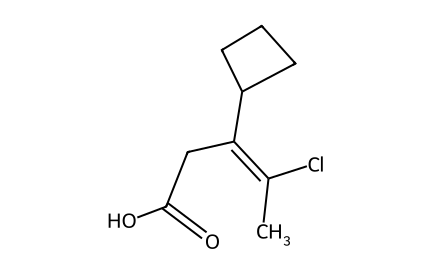 CC(Cl)=C(CC(=O)O)C1CCC1